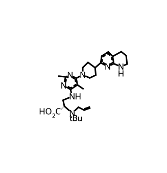 C=CCN([C@@H](CNc1nc(C)nc(N2CCC(c3ccc4c(n3)NCCC4)CC2)c1C)C(=O)O)C(C)(C)C